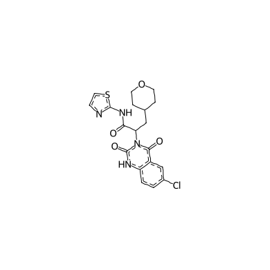 O=C(Nc1nccs1)C(CC1CCOCC1)n1c(=O)[nH]c2ccc(Cl)cc2c1=O